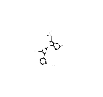 CCCN(Cc1nn(-c2nc(-c3cccc(OC)c3)c(C(C)C)s2)c2ccc(C)cc12)C(C)=O